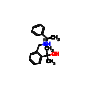 C[C@@H](NCc1ccccc1C(C)(C)O)c1ccccc1